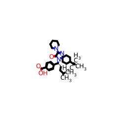 CC(C)CC[C@H](c1ccc(C(=O)O)cc1)N1C(=O)C(N2CCCCC2)=NC12CCC(C(C)(C)C)CC2